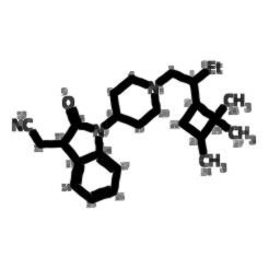 CCC(CN1CCC(N2C(=O)C(CC#N)c3ccccc32)CC1)C1CC(C)C1(C)C